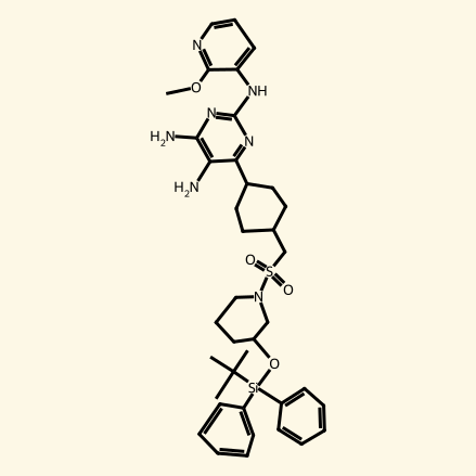 COc1ncccc1Nc1nc(N)c(N)c(C2CCC(CS(=O)(=O)N3CCCC(O[Si](c4ccccc4)(c4ccccc4)C(C)(C)C)C3)CC2)n1